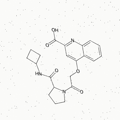 O=C(O)c1cc(OCC(=O)N2CCCC2C(=O)NC2CCC2)c2ccccc2n1